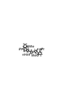 CCCCCCc1cc(-c2cc(F)c(-c3c(OC)cccc3OC(C)C)s2)sc1-c1cc(F)c(-c2c(OC)cccc2OC(C)C)s1